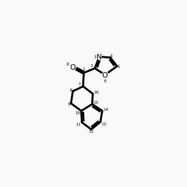 O=C(c1ncco1)C1CCc2ccccc2C1